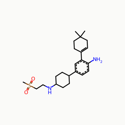 CC1(C)CC=C(c2cc(C3CCC(NCCS(C)(=O)=O)CC3)ccc2N)CC1